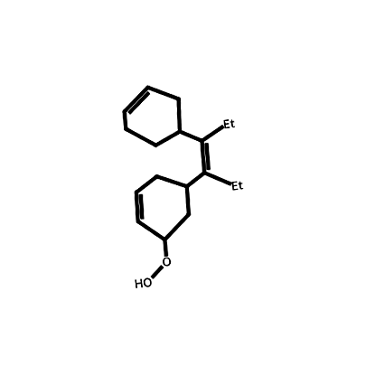 CCC(=C(CC)C1CC=CC(OO)C1)C1CC=CCC1